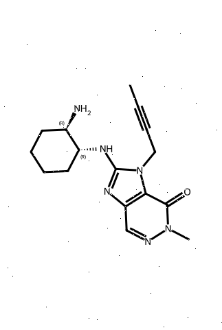 CC#CCn1c(N[C@@H]2CCCC[C@H]2N)nc2cnn(C)c(=O)c21